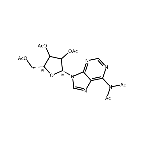 CC(=O)OC[C@H]1O[C@@H](n2cnc3c(N(C(C)=O)C(C)=O)ncnc32)C(OC(C)=O)C1OC(C)=O